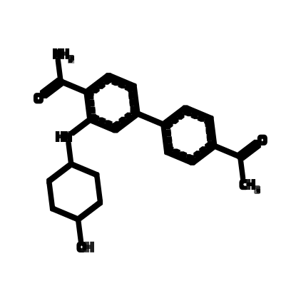 CC(=O)c1ccc(-c2ccc(C(N)=O)c(NC3CCC(O)CC3)c2)cc1